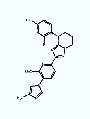 COc1nc(-c2nc3n(n2)CCC[C@@H]3c2ccc(C(F)(F)F)cc2F)ccc1-n1cnc(C)c1